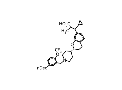 CCCCCCCCCCc1ccc(OC(F)(F)F)c(CN2CCC([C@H]3CCc4ccc(C(C5CC5)C(C)C(=O)O)cc4O3)CC2)c1